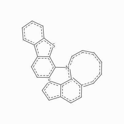 c1cccn(-c2cccc3c2sc2ccccc23)c2c(cc1)ccc1ccsc12